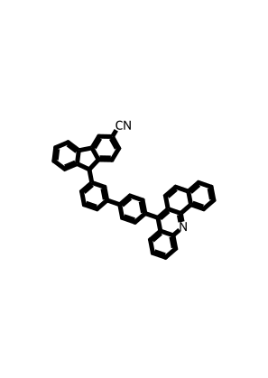 N#Cc1ccc2c(c1)-c1ccccc1C2c1cccc(-c2ccc(-c3c4ccccc4nc4c3ccc3ccccc34)cc2)c1